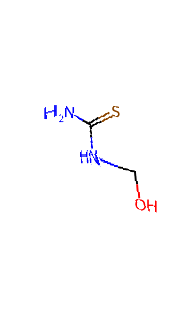 NC(=S)NCO